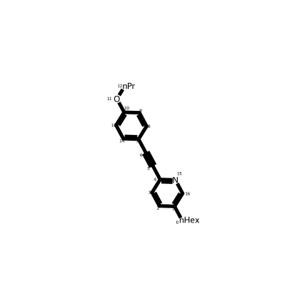 CCCCCCc1ccc(C#Cc2ccc(OCCC)cc2)nc1